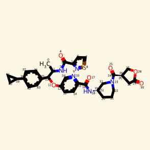 CC(NC(=O)c1ccsn1)C(Oc1ccc(C(=O)N[C@H]2CCCN(C(=O)[C@H]3COC(=O)C3)C2)nc1)c1ccc(C2CC2)cc1